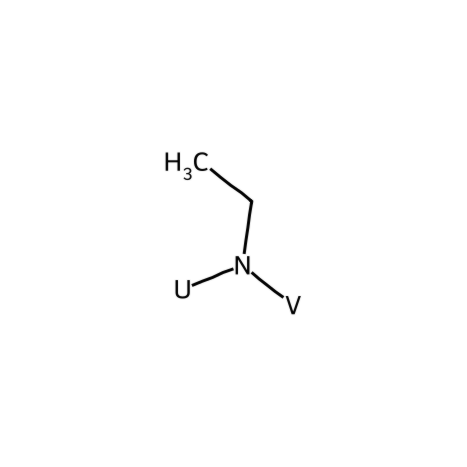 CC[N]([V])[U]